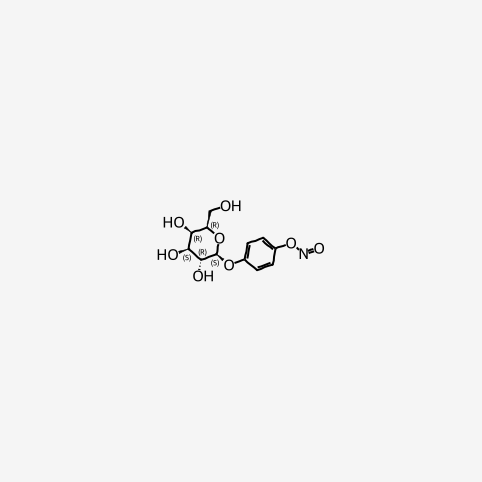 O=NOc1ccc(O[C@@H]2O[C@H](CO)[C@H](O)[C@H](O)[C@H]2O)cc1